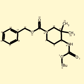 CC(C)(C)OC(=O)NC1CCN(C(=O)OCc2ccccc2)CC1(C)C